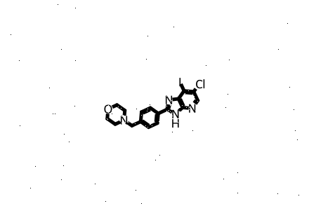 Clc1cnc2[nH]c(-c3ccc(CN4CCOCC4)cc3)nc2c1I